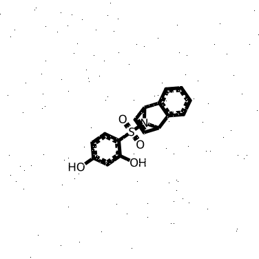 O=S(=O)(c1ccc(O)cc1O)N1C2C=CC1c1ccccc12